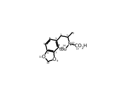 CC(Cc1ccc2c(c1)OCO2)N(C(=O)O)C(C)(C)C